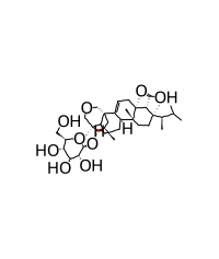 CC(C)[C@@H](C)[C@@]1(C)CC[C@]2(C)[C@H]3CC[C@@H]4[C@@]5(COC[C@]4(C)[C@@H](O[C@@H]4O[C@H](CO)[C@@H](O)[C@H](O)[C@H]4O)[C@H](C)C5)C3=CC[C@@]2(C)[C@@H]1C(=O)O